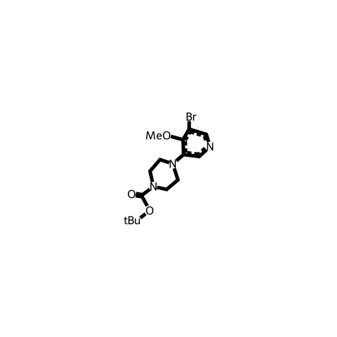 COc1c(Br)cncc1N1CCN(C(=O)OC(C)(C)C)CC1